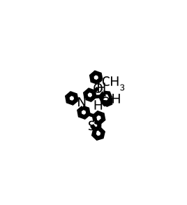 Cc1ccccc1Oc1ccc(N(c2ccccc2)c2cccc(-c3cccc4c3sc3ccccc34)c2)cc1C1CC2C[C@H]3C[C@@H]2C[C@H]1C3